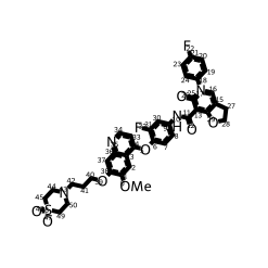 COc1cc2c(Oc3ccc(NC(=O)c4c5c(cn(-c6ccc(F)cc6)c4=O)CCO5)cc3F)ccnc2cc1OCCCN1CCS(=O)(=O)CC1